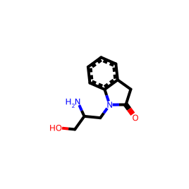 NC(CO)CN1C(=O)Cc2ccccc21